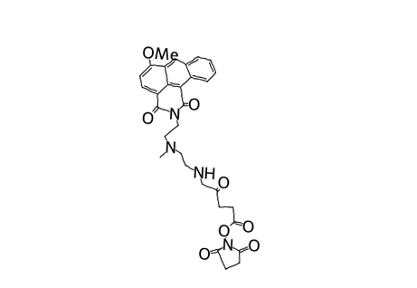 COc1ccc2c3c(c4ccccc4cc13)C(=O)N(CCN(C)CCNCC(=O)CCC(=O)ON1C(=O)CCC1=O)C2=O